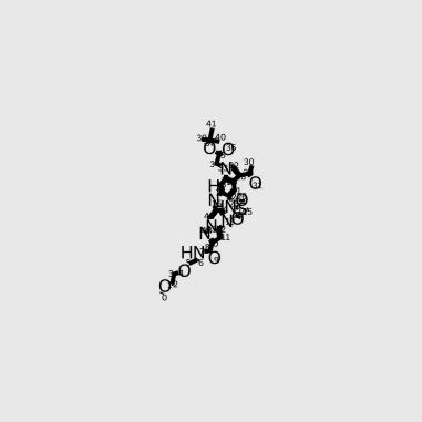 COCCOCCNC(=O)c1cc2ncc(Nc3cc4c(cc3NS(C)(=O)=O)c(C(C)=O)cn4CC(=O)OC(C)(C)C)cn2n1